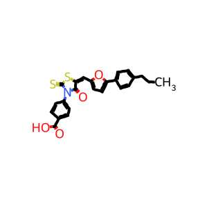 CCCc1ccc(-c2ccc(/C=C3/SC(=S)N(c4ccc(C(=O)O)cc4)C3=O)o2)cc1